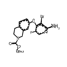 CC(C)(C)OC(=O)N1CCc2ccc(Oc3c(F)cnc(N)c3Br)cc2C1